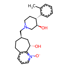 Cc1ccccc1[C@H]1CCN(C[C@@H]2CCc3ccc[n+]([O-])c3[C@@H](O)C2)C[C@@H]1O